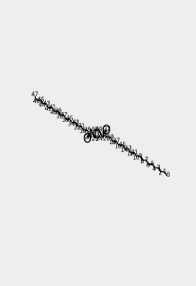 CCC=CCC=CCC=CCC=CCC=CCC=CCCC(=O)N1CCN(C(=O)CCCC=CCC=CCC=CCC=CCC=CCC)CC1